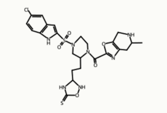 CC1Cc2nc(C(=O)N3CCN(S(=O)(=O)c4cc5cc(Cl)ccc5[nH]4)CC3CCC3NOC(=S)N3)oc2CN1